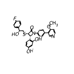 COc1ccncc1-c1ccc(N2C(=O)[C@H](SC[C@@H](O)c3ccc(F)cc3)[C@H]2c2ccc(O)cc2O)cc1